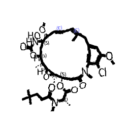 COc1cc2cc(c1Cl)N(C)C(=O)C[C@H](OC(=O)[C@H](C)N(C)C(=O)CCC(C)(C)C)[C@@]1(C)O[C@H]1[C@H](C)[C@@H]1C[C@@](O)(NC(=O)O1)[C@H](OC)/C=C/C=C(\C)C2